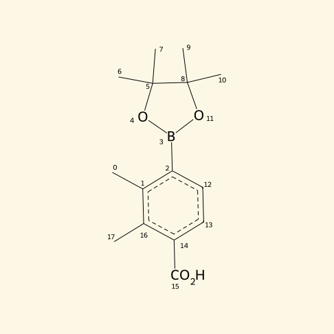 Cc1c(B2OC(C)(C)C(C)(C)O2)ccc(C(=O)O)c1C